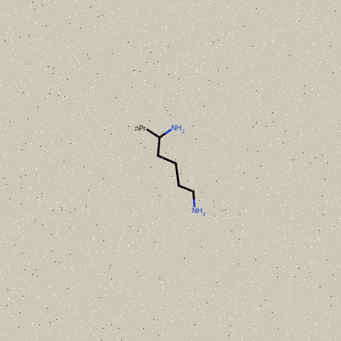 [CH2]CCC(N)CCCCN